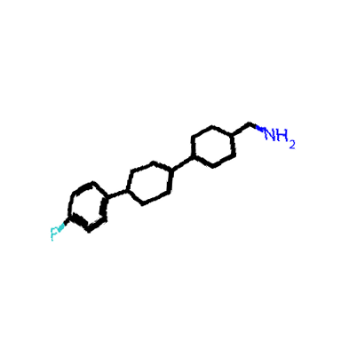 NCC1CCC(C2CCC(c3ccc(F)cc3)CC2)CC1